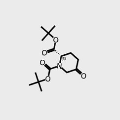 CC(C)(C)OC(=O)[C@@H]1CCC(=O)CN1C(=O)OC(C)(C)C